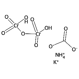 O=C([O-])[O-].[K+].[NH4+].[O]=[Cr](=[O])([OH])[O][Cr](=[O])(=[O])[OH]